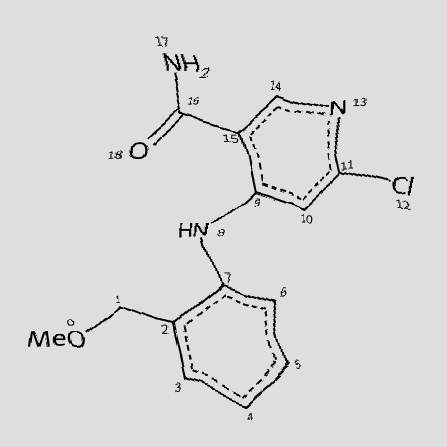 COCc1ccccc1Nc1cc(Cl)ncc1C(N)=O